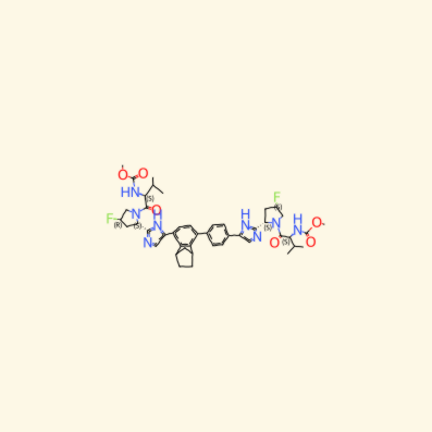 COC(=O)N[C@H](C(=O)N1C[C@@H](F)C[C@H]1c1ncc(-c2ccc(-c3ccc(-c4cnc([C@@H]5C[C@@H](F)CN5C(=O)[C@@H](NC(=O)OC)C(C)C)[nH]4)c4c3C3CCC4C3)cc2)[nH]1)C(C)C